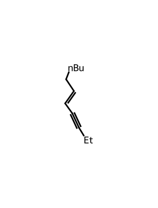 CCC#C/C=C/CCCCC